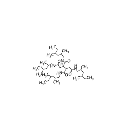 CCC(C)CC(C)CNC(=O)CC(C(=O)NCC(C)CC(C)CC)C(CC(=O)NCC(C)CC(C)CC)C(=O)NCC(C)CC(C)CC